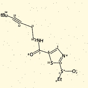 CC[S+]([O-])c1ncc(C(=O)NCCC#CC(C)(C)C)s1